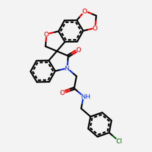 O=C(CN1C(=O)C2(COc3cc4c(cc32)OCO4)c2ccccc21)NCc1ccc(Cl)cc1